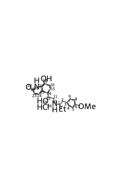 CC[C@H](Cc1ccc(OC)cc1)NC[C@H](O)c1ccc(O)c2[nH]c(=O)ccc12.Cl